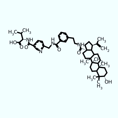 C=C(C)[C@@H]1CC[C@]2(C(=O)NCCc3cccc(C(=O)NCc4ccc(C(=O)N[C@H](C(=O)O)C(C)C)cn4)c3)CC[C@]3(C)C(CCC4[C@@]5(C)CC[C@H](O)C(C)(C)C5CC[C@]43C)C12